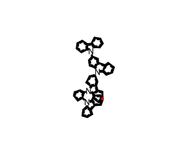 c1ccc(-n2c3ccccc3c3cc(-n4c5ccccc5c5cc(-n6c7ccccc7c7ccccc76)ccc54)ccc32)c(-n2c3ccccc3c3ccccc32)c1